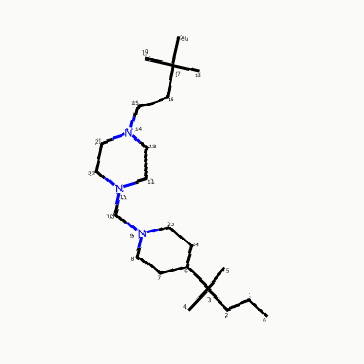 CCCC(C)(C)C1CCN(CN2CCN(CCC(C)(C)C)CC2)CC1